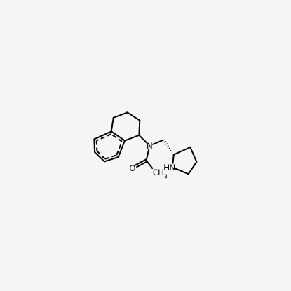 CC(=O)N(C[C@@H]1CCCN1)C1CCCc2ccccc21